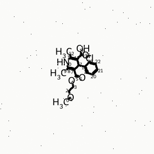 COCCOC(=O)C1=C(C)NC(C)=C(C(=O)O)C1c1ccccc1Cl